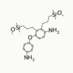 CO[Si](C)(C)CCCc1c(N)ccc(Oc2ccc(N)cc2)c1CCC[Si](C)(C)OC